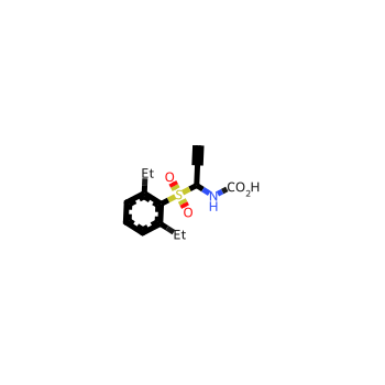 C#CC(NC(=O)O)S(=O)(=O)c1c(CC)cccc1CC